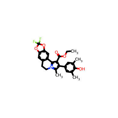 CCOC(=O)c1c(-c2cc(C)c(O)c(C)c2)c(C)n2c1-c1cc3c(cc1CC2)OC(F)(F)O3